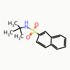 CC(C)(C)NS(=O)(=O)c1ccc2ccccc2c1